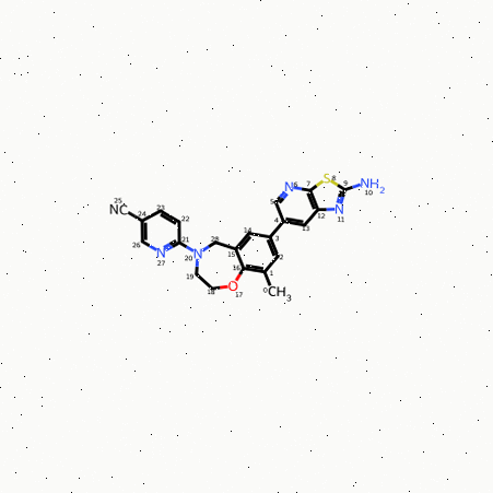 Cc1cc(-c2cnc3sc(N)nc3c2)cc2c1OCCN(c1ccc(C#N)cn1)C2